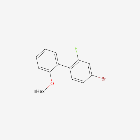 CCCCCCOc1ccccc1-c1ccc(Br)cc1F